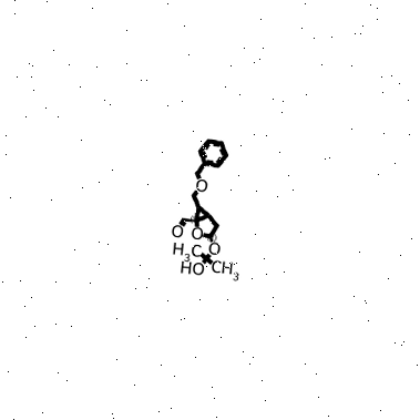 CC(C)(O)O[C@@H]1CC2C(COCc3ccccc3)[C@@]2(C=O)O1